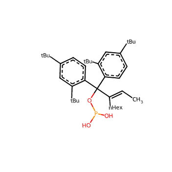 CC=C(CCCCCC)C(OP(O)O)(c1ccc(C(C)(C)C)cc1C(C)(C)C)c1ccc(C(C)(C)C)cc1C(C)(C)C